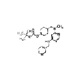 CN(CC1CCN(OC(=O)OC(C)(C)C)CC1)c1cc(NCc2cccnc2)ncn1